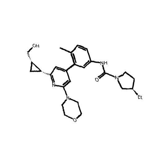 CC[C@@H]1CCN(C(=O)Nc2ccc(C)c(-c3cc([C@@H]4C[C@@H]4CO)nc(N4CCOCC4)c3)c2)C1